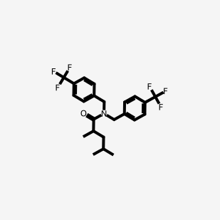 CC(C)CC(C)C(=O)N(Cc1ccc(C(F)(F)F)cc1)Cc1ccc(C(F)(F)F)cc1